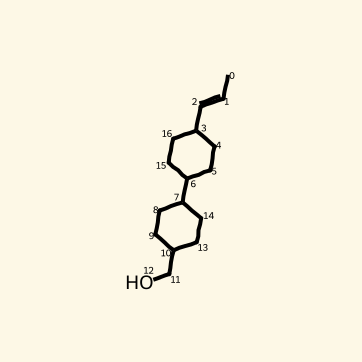 CC=CC1CCC(C2CCC(CO)CC2)CC1